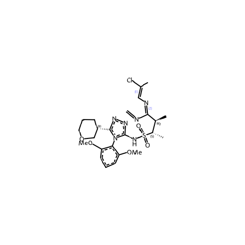 C=N/C(=N\C=C(/C)Cl)[C@@H](C)[C@H](C)S(=O)(=O)Nc1nnc([C@H]2CCCOC2)n1-c1c(OC)cccc1OC